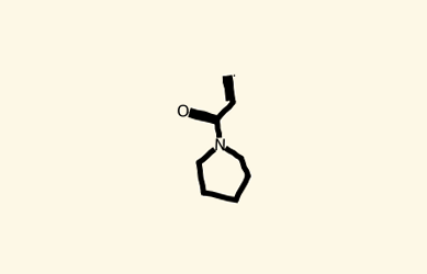 [CH]=CC(=O)N1CCCCC1